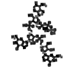 Nc1nc2c(ncn2[C@@H]2O[C@H](COP(=O)(O)OC3C(O)[C@H](n4cnc5c(=O)[nH]c(N)nc54)O[C@@H]3COP(=O)(O)OC3C(O)[C@H](n4cnc5c4N=CNC5N)O[C@@H]3COP(=O)(O)OP(=O)(O)OP(=O)(O)O)C(O)C2O)c(=O)[nH]1